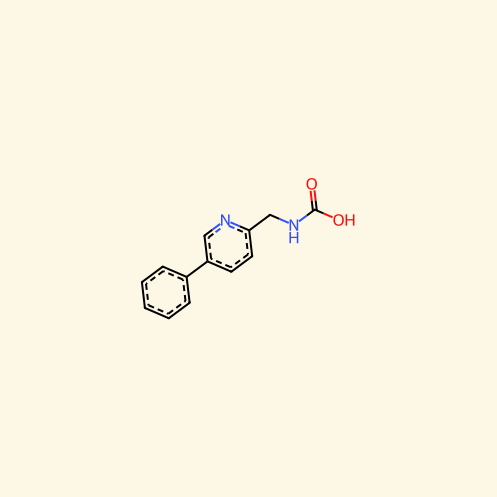 O=C(O)NCc1ccc(-c2ccccc2)cn1